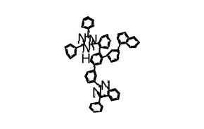 CC1(c2ccccc2-c2ccc(-c3cccc(-c4nc(-c5ccccc5)c5ccccc5n4)c3)cc2-c2cccc(-c3cccc4ccccc34)c2)N=C(c2ccccc2)N=C(c2ccccc2)N1